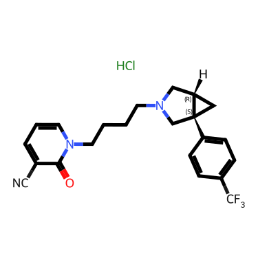 Cl.N#Cc1cccn(CCCCN2C[C@@H]3C[C@]3(c3ccc(C(F)(F)F)cc3)C2)c1=O